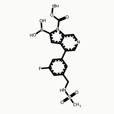 CC(C)(C)OC(=O)n1c(B(O)O)cc2c(-c3cc(F)cc(CNS(C)(=O)=O)c3)cncc21